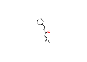 CC=CC(=O)C=Cc1ccccc1